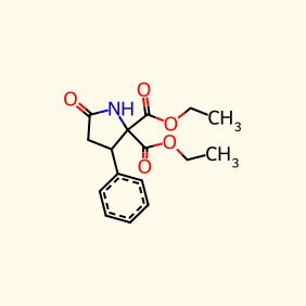 CCOC(=O)C1(C(=O)OCC)NC(=O)CC1c1ccccc1